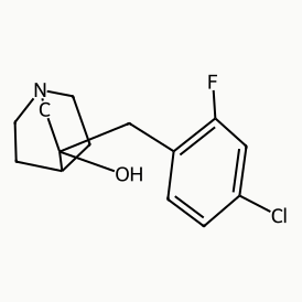 OC1(Cc2ccc(Cl)cc2F)CN2CCC1CC2